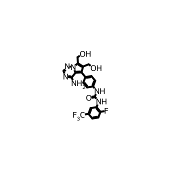 Nc1ncnn2c(CO)c(CO)c(-c3ccc(NC(=O)Nc4cc(C(F)(F)F)ccc4F)cc3)c12